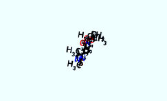 CSc1ncc(C)c(-c2ccc3c(c2)C(=O)N(C(=O)OC(C)(C)C)C3)n1